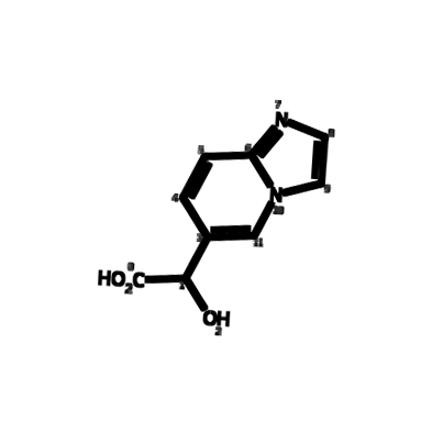 O=C(O)C(O)c1ccc2nccn2c1